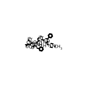 CC(C)CC[C@H](NC(=O)[C@H](Cc1ccccc1)NC(=O)C(CC(C)C)NC(=O)[C@H](CCc1ccccc1)NC(=O)CN1CCN(C)CC1)C(=O)[C@@]1(C)CO1